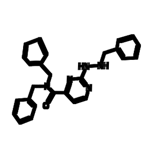 O=C(c1ccnc(NNCc2ccccc2)n1)N(Cc1ccccc1)Cc1ccccc1